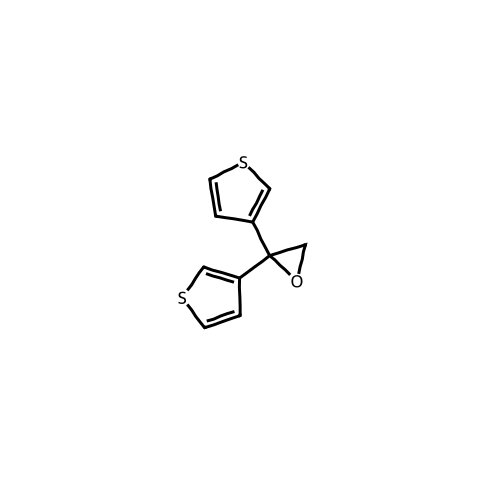 c1cc(C2(c3ccsc3)CO2)cs1